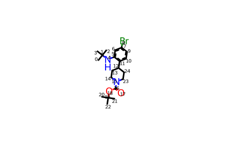 CC(C)(C)Nc1cc(Br)ccc1C1CCN(C(=O)OC(C)(C)C)CC1